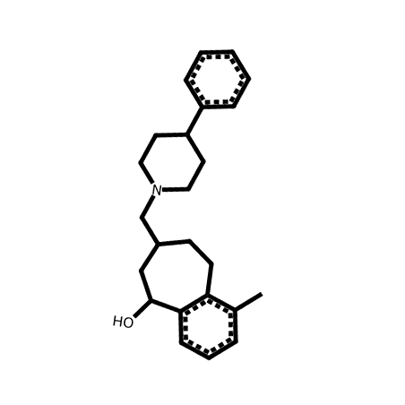 Cc1cccc2c1CCC(CN1CCC(c3ccccc3)CC1)CC2O